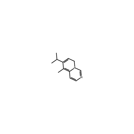 CC1=C2C=CN=CN2CC=C1C(C)C